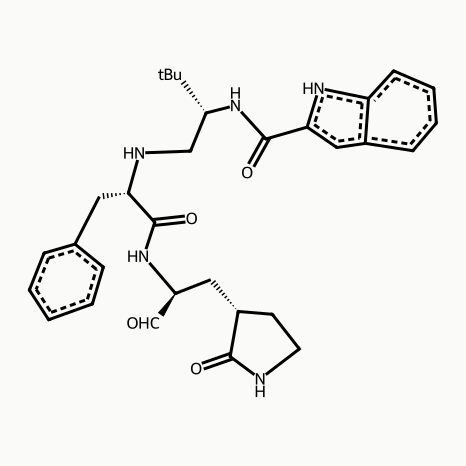 CC(C)(C)[C@@H](CN[C@@H](Cc1ccccc1)C(=O)N[C@H](C=O)C[C@@H]1CCNC1=O)NC(=O)c1cc2ccccc2[nH]1